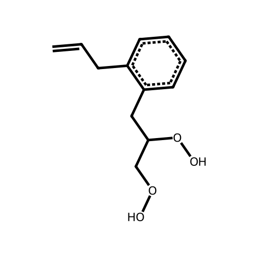 C=CCc1ccccc1CC(COO)OO